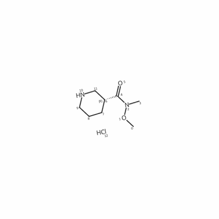 CON(C)C(=O)[C@@H]1CCCNC1.Cl